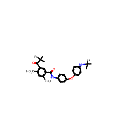 CC(C)C(C)(C)Nc1ccc(Oc2ccc(NC(=O)c3cc(C(=O)C(C)(C)C(C)C)c(C(=O)O)cc3C(=O)O)cc2)cc1